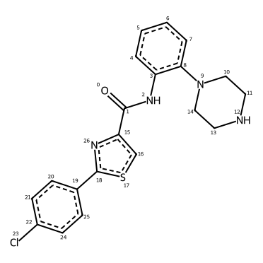 O=C(Nc1ccccc1N1CCNCC1)c1csc(-c2ccc(Cl)cc2)n1